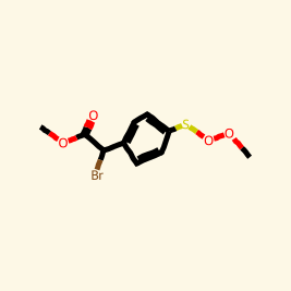 COOSc1ccc(C(Br)C(=O)OC)cc1